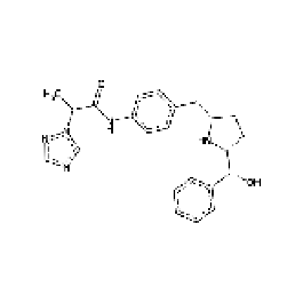 CC(C(=O)Nc1ccc(C[C@@H]2CC[C@H]([C@H](O)c3ccccc3)N2)cc1)n1cncn1